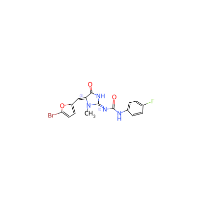 CN1/C(=C\c2ccc(Br)o2)C(=O)N/C1=N\C(=O)Nc1ccc(F)cc1